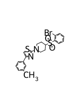 Cc1cccc(-c2csc(N3CCC(S(=O)(=O)c4ccccc4Br)CC3)n2)c1